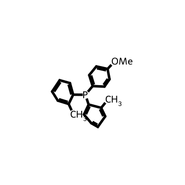 COc1ccc(P(c2ccccc2C)c2ccccc2C)cc1